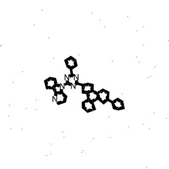 c1ccc(-c2ccc3c4ccc(-c5nc(-c6ccccc6)nc(-n6c7ccccc7c7ncccc76)n5)cc4c4ccccc4c3c2)cc1